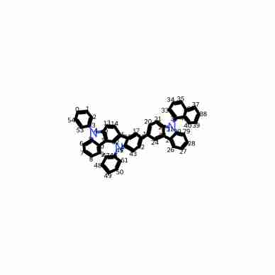 c1ccc(-n2c3ccccc3c3c2ccc2c4cc(-c5ccc6c(c5)c5ccccc5n6-c5cccc6ccccc56)ccc4n(-c4ccccc4)c23)cc1